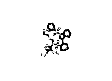 COCCOCN(c1onc(C)c1C)S(=O)(=O)c1ccccc1-c1cn(S(=O)(=O)c2ccccc2)c2ccccc12